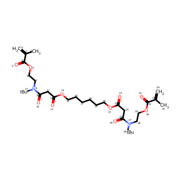 C=C(C)C(=O)OCCN(C(=O)CC(=O)OCCCCCCOC(=O)CC(=O)N(CCOC(=O)C(=C)C)C(C)(C)C)C(C)(C)C